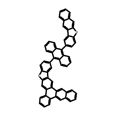 c1ccc2cc3c(cc2c1)oc1ccc(-c2c4ccccc4c(-c4ccc5sc6cc7c8ccccc8c8cc9ccccc9cc8c7cc6c5c4)c4ccccc24)cc13